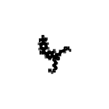 CCCCOP(=O)(OCCCC)c1ccc(Nc2ccc(C(F)(F)F)cc2)cc1F